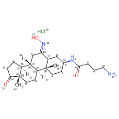 C[C@]12CC[C@H](NC(=O)CCCN)CC1/C(=N/O)C[C@@H]1[C@@H]2CC[C@]2(C)C(=O)CC[C@@H]12.Cl